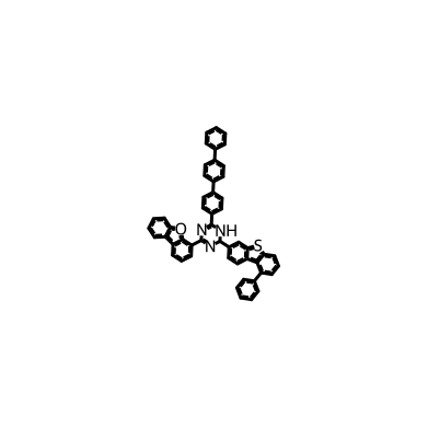 c1ccc(-c2ccc(-c3ccc(C4=NC(c5cccc6c5oc5ccccc56)=NC(c5ccc6c(c5)sc5cccc(-c7ccccc7)c56)N4)cc3)cc2)cc1